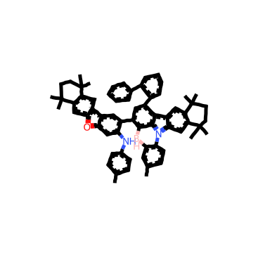 Cc1ccc(Nc2cc3oc4cc5c(cc4c3cc2-c2cc(-c3ccccc3-c3ccccc3)c3c4cc6c(cc4n4c3c2Bc2cc(C)ccc2-4)C(C)(C)CCC6(C)C)C(C)(C)CCC5(C)C)cc1